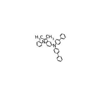 Cc1c(C)n(-c2ccccc2)c2ccc(N(c3ccc(-c4ccccc4)cc3)c3ccc(-c4ccccc4)cc3)cc12